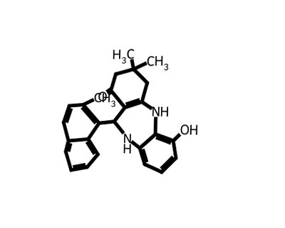 Cc1ccc2ccccc2c1C1Nc2cccc(O)c2NC2=C1C(=O)CC(C)(C)C2